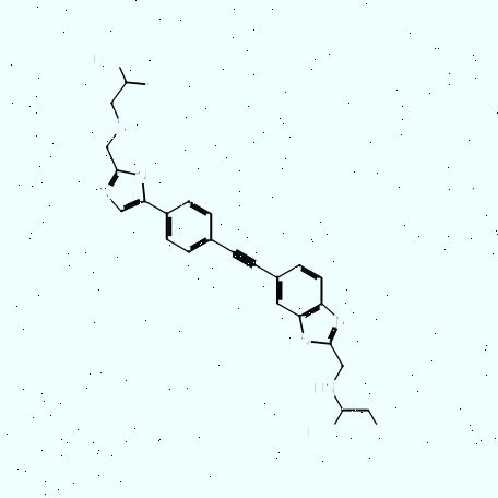 CCC(C)NCc1nc2ccc(C#Cc3ccc(-c4cnc(CNCC(C)C)[nH]4)cc3)cc2[nH]1